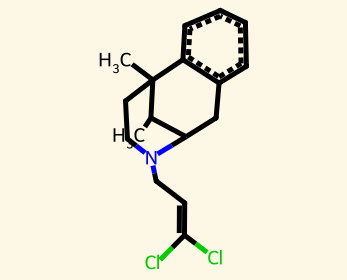 CC1C2Cc3ccccc3C1(C)CCN2CC=C(Cl)Cl